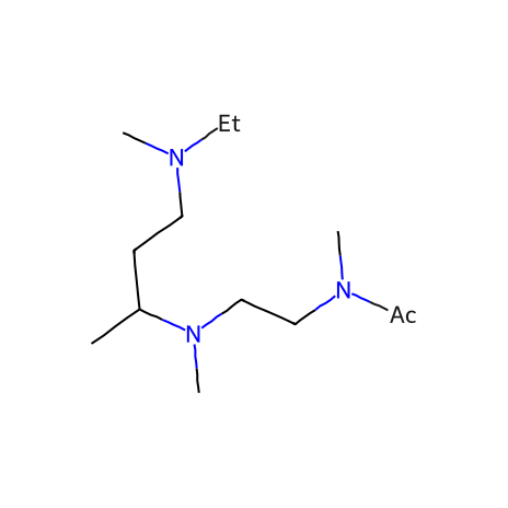 CCN(C)CCC(C)N(C)CCN(C)C(C)=O